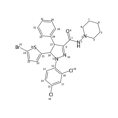 O=C(NN1CCCCC1)C1=NN(c2ccc(Cl)cc2Cl)C(c2ccc(Br)s2)C1c1ccccc1